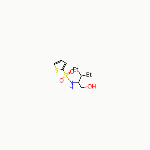 CCC(CC)C(CO)NS(=O)(=O)c1cccs1